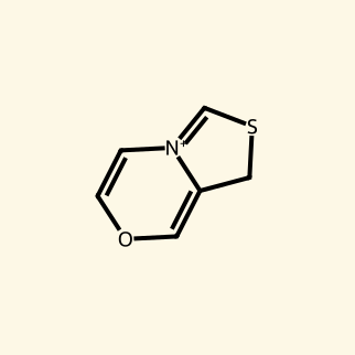 C1=C[N+]2=CSCC2=CO1